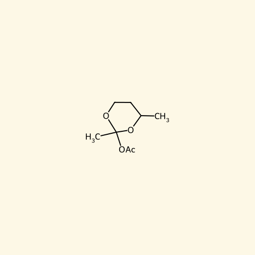 CC(=O)OC1(C)OCCC(C)O1